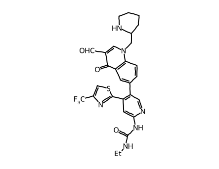 CCNC(=O)Nc1cc(-c2nc(C(F)(F)F)cs2)c(-c2ccc3c(c2)c(=O)c(C=O)cn3CC2CCCCN2)cn1